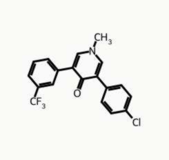 Cn1cc(-c2ccc(Cl)cc2)c(=O)c(-c2cccc(C(F)(F)F)c2)c1